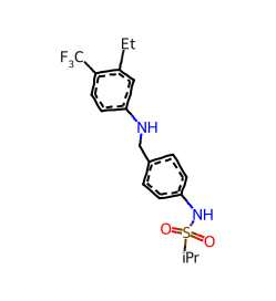 CCc1cc(NCc2ccc(NS(=O)(=O)C(C)C)cc2)ccc1C(F)(F)F